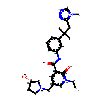 Cn1cnnc1CC(C)(C)c1cccc(NC(=O)c2cc(CN3CC[C@H](O)C3)cn(CC(F)(F)F)c2=O)c1